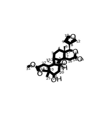 C=C1C2CC[C@]3(C)[C@@H](c4ccoc4)OC(=O)CC13O[C@H]1CC(O)C(C)(C)C(CC(=O)OC)[C@@]21C